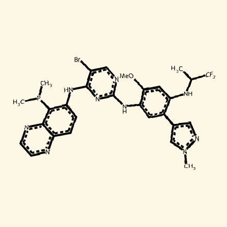 COc1cc(NC(C)C(F)(F)F)c(-c2cnn(C)c2)cc1Nc1ncc(Br)c(Nc2ccc3nccnc3c2P(C)C)n1